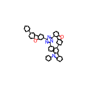 c1ccc(-c2ccc3oc4cc(-c5nc(-c6ccccc6)nc(-c6cccc7oc8ccc(-c9ccc%10c(c9)c9ccccc9n%10-c9ccccc9)cc8c67)n5)ccc4c3c2)cc1